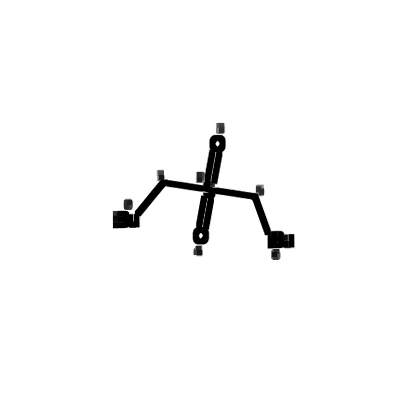 CCC(C)CS(=O)(=O)CC(C)CC